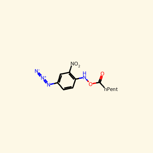 CCCCCC(=O)ONc1ccc(N=[N+]=[N-])cc1[N+](=O)[O-]